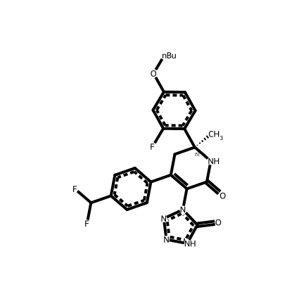 CCCCOc1ccc([C@]2(C)CC(c3ccc(C(F)F)cc3)=C(n3nn[nH]c3=O)C(=O)N2)c(F)c1